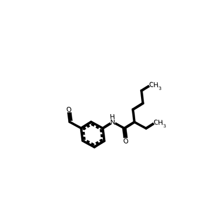 CCCCC(CC)C(=O)Nc1cccc(C=O)c1